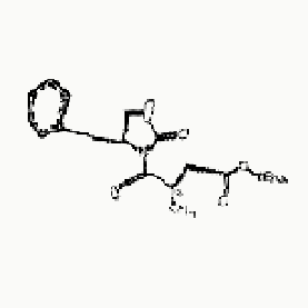 C[C@@H](CC(=O)OC(C)(C)C)C(=O)N1C(=O)OCC1Cc1ccccc1